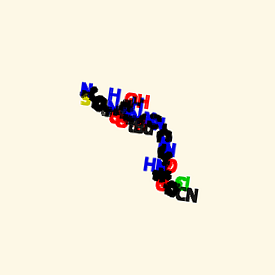 Cc1ncsc1-c1ccc([C@H](C)NC(=O)[C@@H]2C[C@@H](O)CN2C(=O)[C@@H](NC(=O)CN2CCN(CC3CCN(c4ccc(C(=O)NC5C(C)(C)C(Oc6ccc(C#N)c(Cl)c6)C5(C)C)cn4)CC3)CC2)C(C)(C)C)cc1